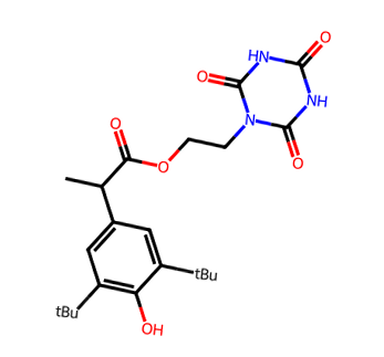 CC(C(=O)OCCn1c(=O)[nH]c(=O)[nH]c1=O)c1cc(C(C)(C)C)c(O)c(C(C)(C)C)c1